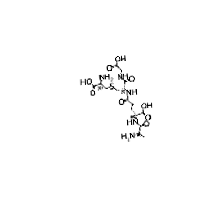 C[C@@H](N)C(=O)N[C@H](CCC(=O)N[C@H](CSC[C@H](N)C(=O)O)C(=O)NCC(=O)O)C(=O)O